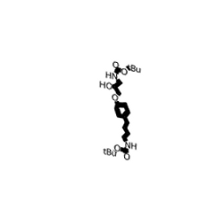 CC(C)(C)OC(=O)NCCCCc1ccc(OCC(O)CNC(=O)OC(C)(C)C)cc1